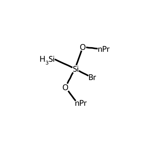 CCCO[Si]([SiH3])(Br)OCCC